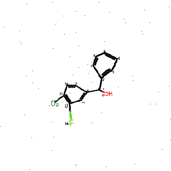 OC(c1ccccc1)c1ccc(Cl)c(F)c1